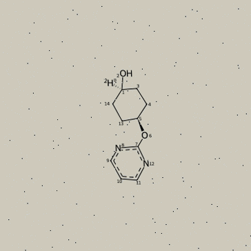 [2H][C@]1(O)CC[C@@H](Oc2ncccn2)CC1